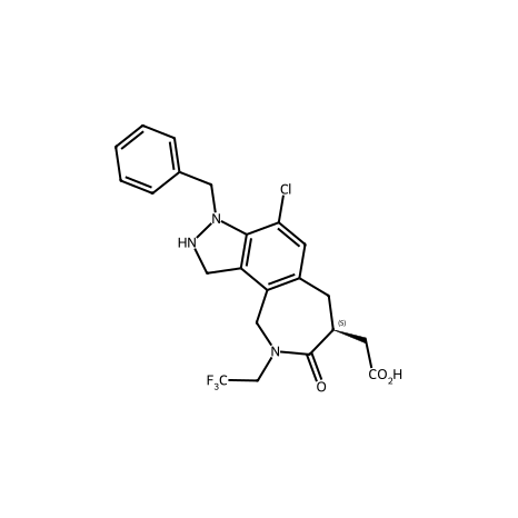 O=C(O)C[C@@H]1Cc2cc(Cl)c3c(c2CN(CC(F)(F)F)C1=O)CNN3Cc1ccccc1